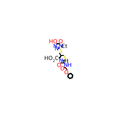 CCn1c(SCC2=C(C(=O)O)N3C(=O)C(NC(=O)COc4ccccc4)[C@H]3SC2)nnc(O)c1=O